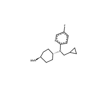 CN[C@H]1CC[C@H](N(CC2CC2)c2ccc(F)cn2)CC1